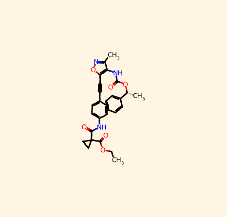 CCOC(=O)C1(C(=O)Nc2ccc(C#Cc3onc(C)c3NC(=O)O[C@H](C)c3ccccc3)cc2)CC1